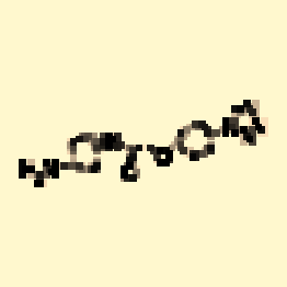 Nc1ccc(NC(=O)COc2ccc(-n3cnnn3)cc2)cc1